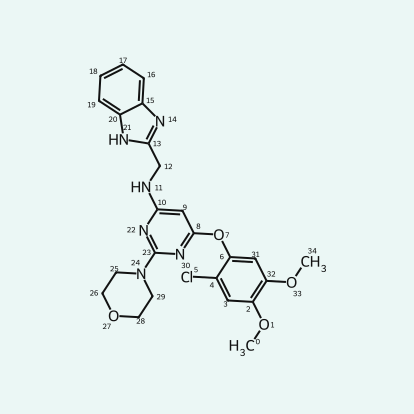 COc1cc(Cl)c(Oc2cc(NCc3nc4ccccc4[nH]3)nc(N3CCOCC3)n2)cc1OC